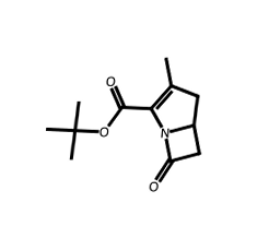 CC1=C(C(=O)OC(C)(C)C)N2C(=O)CC2C1